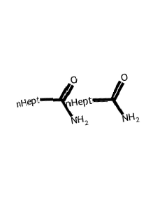 CCCCCCCC(N)=O.CCCCCCCC(N)=O